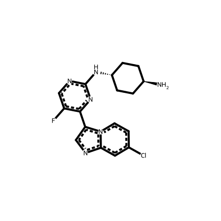 N[C@H]1CC[C@H](Nc2ncc(F)c(-c3cnc4cc(Cl)ccn34)n2)CC1